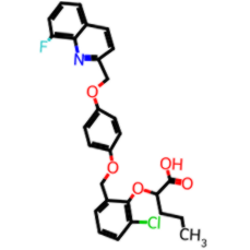 CCCC(Oc1c(Cl)cccc1COc1ccc(OCc2ccc3cccc(F)c3n2)cc1)C(=O)O